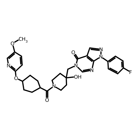 COc1ccc(OC2CCC(C(=O)N3CCC(O)(Cn4cnc5c(cnn5-c5ccc(F)cc5)c4=O)CC3)CC2)nc1